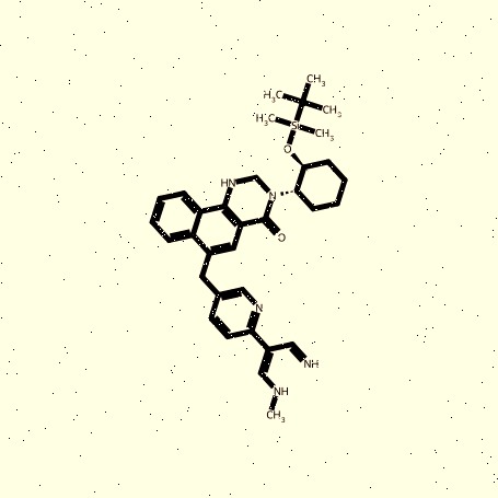 CN/C=C(\C=N)c1ccc(Cc2cc3c(c4ccccc24)NCN([C@H]2CCCC[C@@H]2O[Si](C)(C)C(C)(C)C)C3=O)cn1